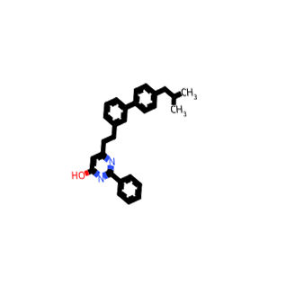 CC(C)Cc1ccc(-c2cccc(CCc3cc(O)nc(-c4ccccc4)n3)c2)cc1